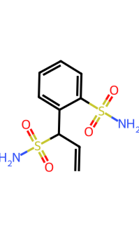 C=CC(c1ccccc1S(N)(=O)=O)S(N)(=O)=O